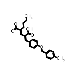 CCCCC(=CC(=Cc1ccc(OCc2ccc(C)cc2)cc1)C(=O)O)C(=O)O